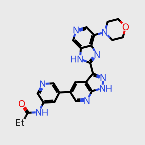 CCC(=O)Nc1cncc(-c2cnc3[nH]nc(-c4nc5c(N6CCOCC6)cncc5[nH]4)c3c2)c1